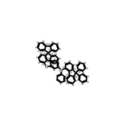 c1ccc(N(c2ccc3c(c2)oc2cccc(C4(c5ccccc5)c5ccccc5-c5ccccc54)c23)c2cccc3c2-c2ccccc2C3(c2ccccc2)c2ccccc2)cc1